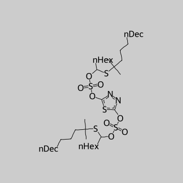 CCCCCCCCCCCCCC(C)(C)SC(CCCCCC)OS(=O)(=O)Oc1nnc(OS(=O)(=O)OC(CCCCCC)SC(C)(C)CCCCCCCCCCCCC)s1